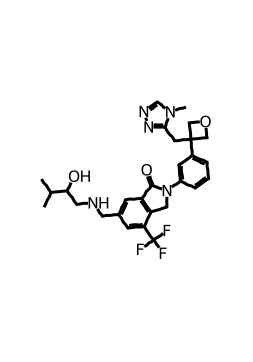 CC(C)C(O)CNCc1cc2c(c(C(F)(F)F)c1)CN(c1cccc(C3(Cc4nncn4C)COC3)c1)C2=O